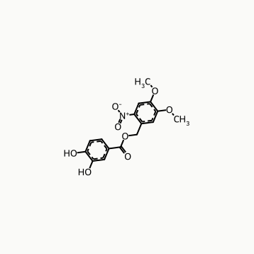 COc1cc(COC(=O)c2ccc(O)c(O)c2)c([N+](=O)[O-])cc1OC